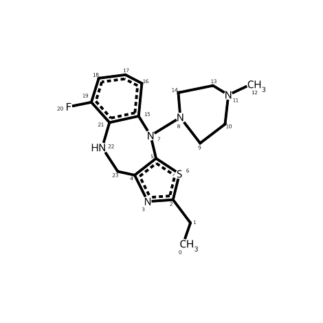 CCc1nc2c(s1)N(N1CCN(C)CC1)c1cccc(F)c1NC2